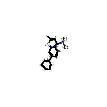 CCN(CC)c1cc(C)nc2cc(-c3cc[c]cc3)ccc12